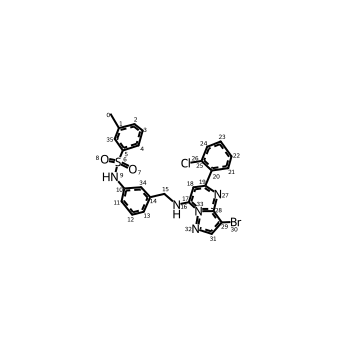 Cc1cccc(S(=O)(=O)Nc2cccc(CNc3cc(-c4ccccc4Cl)nc4c(Br)cnn34)c2)c1